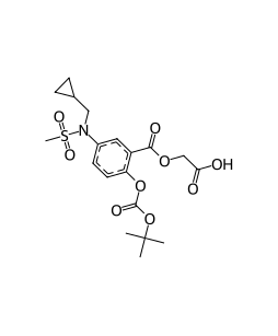 CC(C)(C)OC(=O)Oc1ccc(N(CC2CC2)S(C)(=O)=O)cc1C(=O)OCC(=O)O